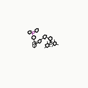 Cc1cc(C)c(B(c2cccc(-c3cccc(-c4ccc(C56CC7CC(C5)CC(c5ccc(P(c8ccccc8)c8ccccc8)cc5)(C7)C6)cc4)c3)c2)c2c(C)cc(C)cc2C)c(C)c1